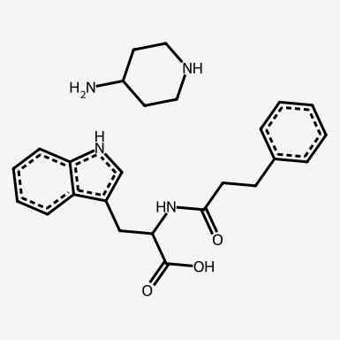 NC1CCNCC1.O=C(CCc1ccccc1)NC(Cc1c[nH]c2ccccc12)C(=O)O